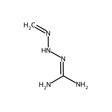 C=NNN=C(N)N